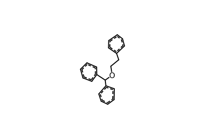 c1ccc(CCOC(c2ccccc2)c2ccccc2)cc1